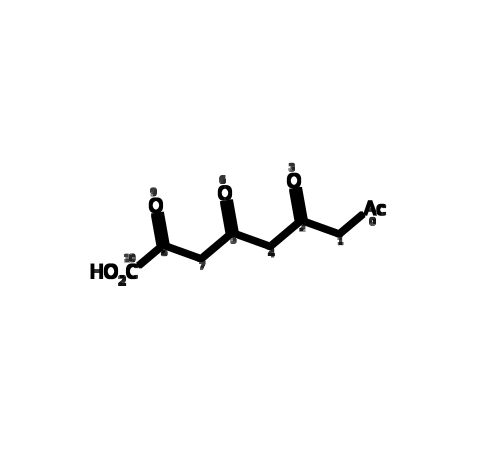 CC(=O)CC(=O)CC(=O)CC(=O)C(=O)O